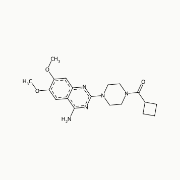 COc1cc2nc(N3CCN(C(=O)C4CCC4)CC3)nc(N)c2cc1OC